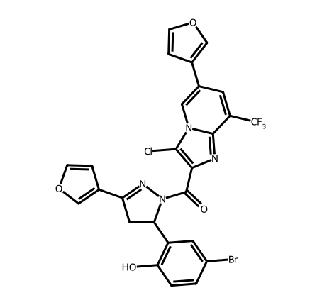 O=C(c1nc2c(C(F)(F)F)cc(-c3ccoc3)cn2c1Cl)N1N=C(c2ccoc2)CC1c1cc(Br)ccc1O